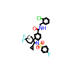 O=C(NCc1ccccc1Cl)c1ccc2c(c1)C1(CCC(F)(F)CC1)C(C1CC1)N2S(=O)(=O)c1ccc(F)cc1